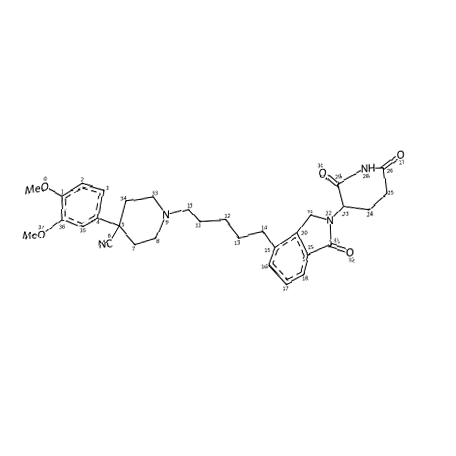 COc1ccc(C2(C#N)CCN(CCCCCc3cccc4c3CN(C3CCC(=O)NC3=O)C4=O)CC2)cc1OC